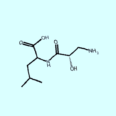 CC(C)CC(NC(=O)[C@@H](O)CN)C(=O)O